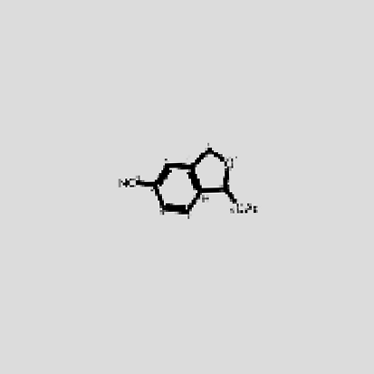 CC(=O)OC1OCc2cc(C#N)ccc21